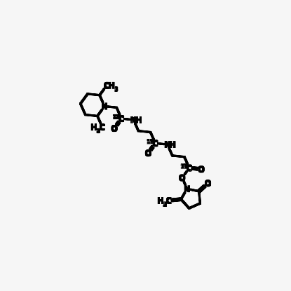 C=C1CCC(=O)N1O[13C](=O)CCN[13C](=O)CCN[13C](=O)CN1C(C)CCCC1C